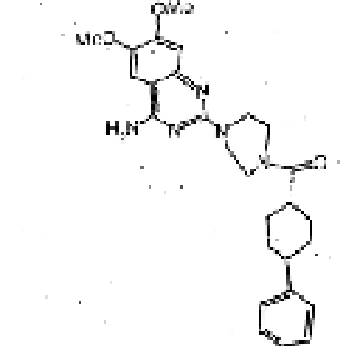 COc1cc2nc(N3CCN(C(=O)[C@H]4CC[C@H](c5ccccc5)CC4)CC3)nc(N)c2cc1OC